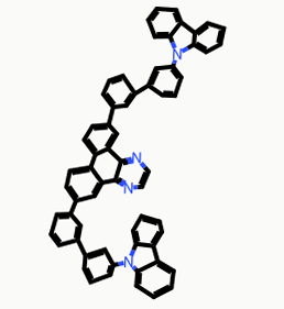 c1cc(-c2cccc(-n3c4ccccc4c4ccccc43)c2)cc(-c2ccc3c4ccc(-c5cccc(-c6cccc(-n7c8ccccc8c8ccccc87)c6)c5)cc4c4nccnc4c3c2)c1